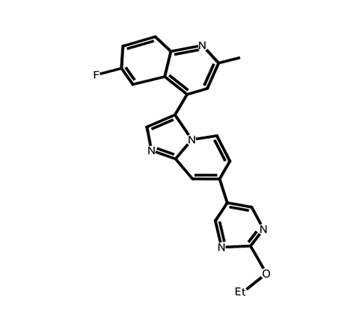 CCOc1ncc(-c2ccn3c(-c4cc(C)nc5ccc(F)cc45)cnc3c2)cn1